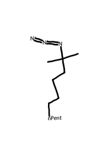 CCCCCCCCCC(C)(C)N=[N+]=[N-]